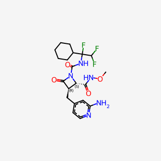 CONC(=O)[C@@H]1[C@@H](Cc2ccnc(N)c2)C(=O)N1C(=O)NC(F)(C(F)F)C1CCCCC1